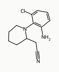 N#CCC1CCCCN1c1c(N)cccc1Cl